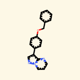 [c]1ccn2ncc(-c3ccc(OCc4ccccc4)cc3)c2n1